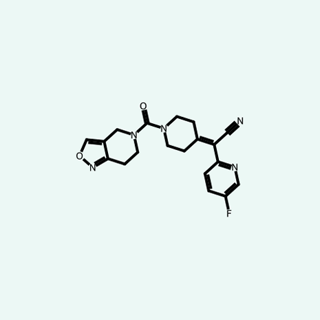 N#CC(=C1CCN(C(=O)N2CCc3nocc3C2)CC1)c1ccc(F)cn1